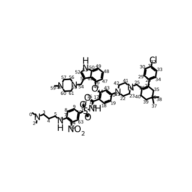 CN(C)CCCNc1ccc(S(=O)(=O)NC(=O)c2ccc(N3CCN(CC4=C(c5ccc(Cl)cc5)CC(C)(C)CC4)CC3)cc2Oc2cccc3[nH]cc(CN4CCN(C)CC4)c23)cc1[N+](=O)[O-]